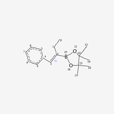 CC/C(=C\c1ccccc1)B1OC(C)(C)C(C)(C)O1